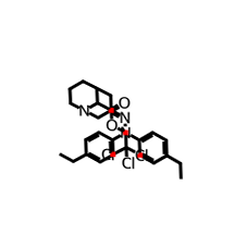 CCc1ccc(N(N=C2CC3CCCN(C2)C3C(=O)OCC(Cl)(Cl)Cl)c2ccc(CC)cc2)cc1